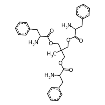 CC(COC(=O)C(N)Cc1ccccc1)(COC(=O)C(N)Cc1ccccc1)COC(=O)C(N)Cc1ccccc1